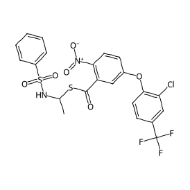 CC(NS(=O)(=O)c1ccccc1)SC(=O)c1cc(Oc2ccc(C(F)(F)F)cc2Cl)ccc1[N+](=O)[O-]